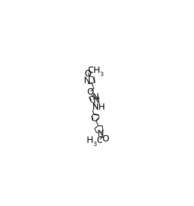 COc1ccc(COc2ccc(NCc3ccc(C4CCN(C(C)=O)CC4)cc3)nn2)cn1